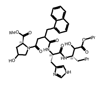 COC(=O)[C@@H]1CC(O)CN1C(=O)CC(Cc1cccc2ccccc12)C(=O)N[C@@H](Cc1c[nH]cn1)C(=O)N[C@@H](CC(C)C)C(O)C(=O)OC(C)C